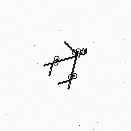 CCCCCCCOC(=O)N(CC1CCN(C)CC1)C(CCCCCCCCC(=O)OCC(CCCC)CCCCCC)CCCCCCCCC(=O)OCC(CCCC)CCCCCC